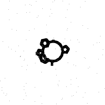 CN1CCCC2CCCN2CCOc2cccc(c2)-c2cnn3ccc1nc23